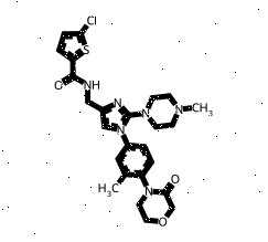 Cc1cc(-n2cc(CNC(=O)c3ccc(Cl)s3)nc2N2CCN(C)CC2)ccc1N1CCOCC1=O